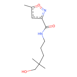 Cc1cc(C(=O)NCCCC(C)(C)CO)no1